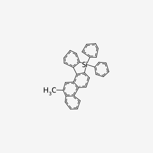 Cc1cc2c3c(ccc2c2ccccc12)[Si](c1ccccc1)(c1ccccc1)c1ccccc1-3